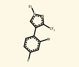 CCn1cc(-c2ccc(F)cc2Br)c(C(F)(F)F)n1